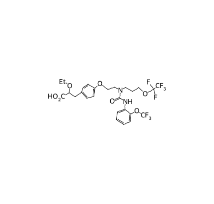 CCOC(Cc1ccc(OCCN(CCCOC(F)(F)C(F)(F)F)C(=O)Nc2ccccc2OC(F)(F)F)cc1)C(=O)O